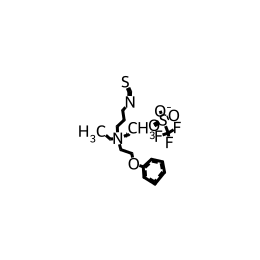 CC[N+](CC)(CCCN=C=S)CCOc1ccccc1.O=S(=O)([O-])C(F)(F)F